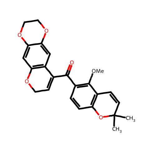 COc1c(C(=O)C2=CCOc3cc4c(cc32)OCCO4)ccc2c1C=CC(C)(C)O2